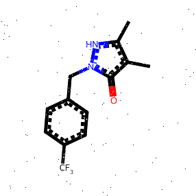 Cc1[nH]n(Cc2ccc(C(F)(F)F)cc2)c(=O)c1C